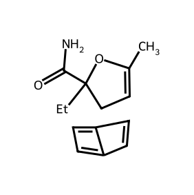 CCC1(C(N)=O)CC=C(C)O1.c1cc2ccc1-2